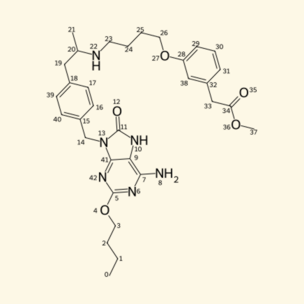 CCCCOc1nc(N)c2[nH]c(=O)n(Cc3ccc(CC(C)NCCCCOc4cccc(CC(=O)OC)c4)cc3)c2n1